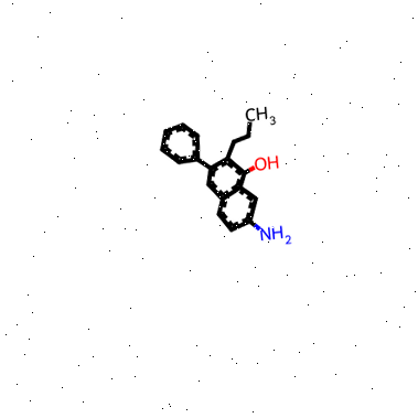 CCCc1c(-c2ccccc2)cc2ccc(N)cc2c1O